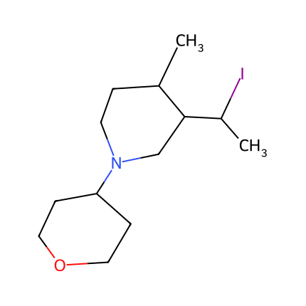 CC(I)C1CN(C2CCOCC2)CCC1C